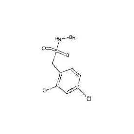 O=S(=O)(Cc1ccc(Cl)cc1Cl)NO